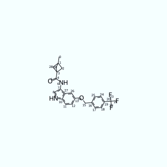 CC12CC(C(=O)Nc3c[nH]c4ccc(OCc5ccc(C(F)(F)F)cc5)cc34)(C1)C2